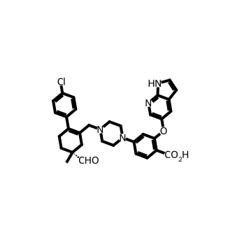 C[C@@]1(C=O)CCC(c2ccc(Cl)cc2)=C(CN2CCN(c3ccc(C(=O)O)c(Oc4cnc5[nH]ccc5c4)c3)CC2)C1